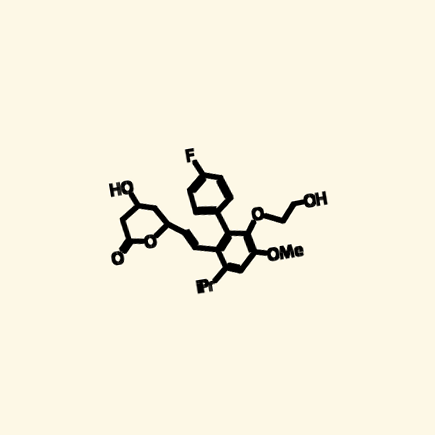 COc1cc(C(C)C)c(/C=C/C2CC(O)CC(=O)O2)c(-c2ccc(F)cc2)c1OCCO